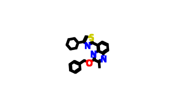 Cc1nc2cccc(-c3nc(C4CCCCC4)cs3)c2nc1OCc1ccccc1